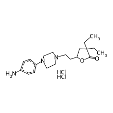 CCC1(CC)CC(CCN2CCN(c3ccc(N)cc3)CC2)OC1=O.Cl.Cl